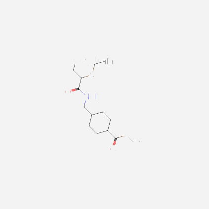 CC(C)CSC(CC(=O)O)C(=O)NCC1CCC(C(=O)SC(C)C)CC1